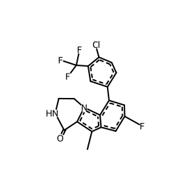 Cc1c2n(c3c(-c4ccc(Cl)c(C(F)(F)F)c4)cc(F)cc13)CCNC2=O